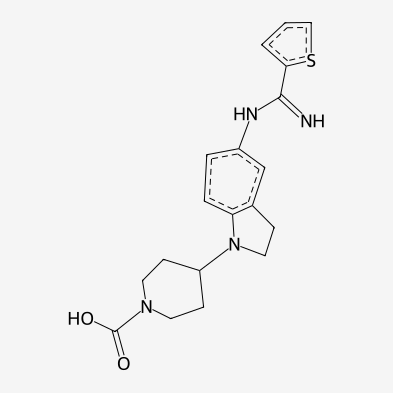 N=C(Nc1ccc2c(c1)CCN2C1CCN(C(=O)O)CC1)c1cccs1